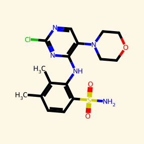 Cc1ccc(S(N)(=O)=O)c(Nc2nc(Cl)ncc2N2CCOCC2)c1C